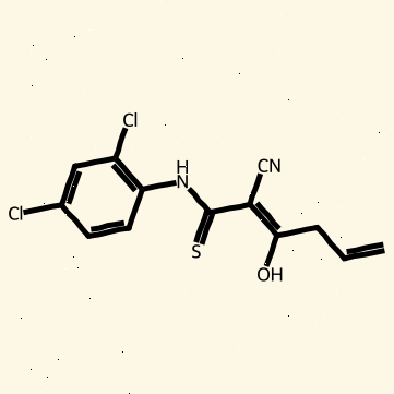 C=CC/C(O)=C(\C#N)C(=S)Nc1ccc(Cl)cc1Cl